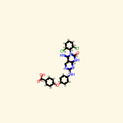 N=c1c2cnc(Nc3ccc(Oc4ccc(C(=O)O)cc4)cc3)nc2[nH]c(=O)n1-c1c(Cl)cccc1Cl